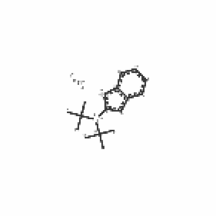 C[C](C)(C)[Ti+2]([c]1cc2ccccc2[nH]1)[C](C)(C)C.[Cl-].[Cl-]